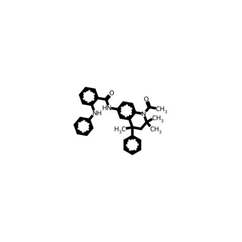 CC(=O)N1c2ccc(NC(=O)c3ccccc3Nc3ccccc3)cc2C(C)(c2ccccc2)CC1(C)C